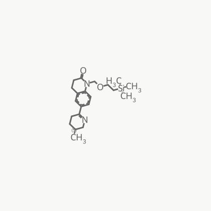 C[C@H]1CCC(c2ccc3c(c2)CCC(=O)N3COCC[Si](C)(C)C)=NC1